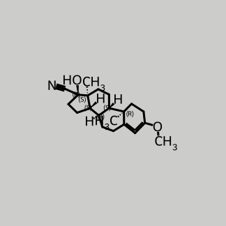 COC1=C=C2CC[C@@H]3[C@H](CC[C@@]4(C)[C@H]3CC[C@]4(O)C#N)[C@@]2(C)CC1